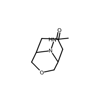 CNN1C2COCC1CC(=O)C2